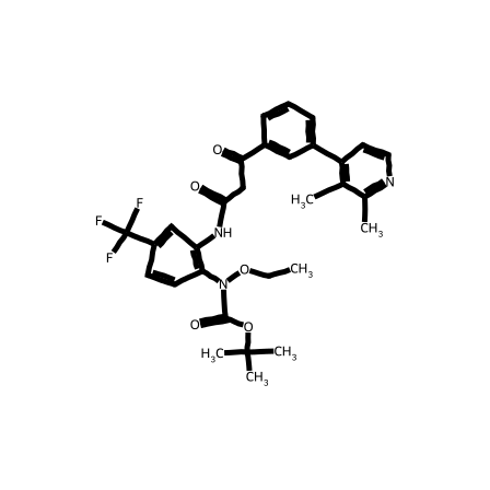 CCON(C(=O)OC(C)(C)C)c1ccc(C(F)(F)F)cc1NC(=O)CC(=O)c1cccc(-c2ccnc(C)c2C)c1